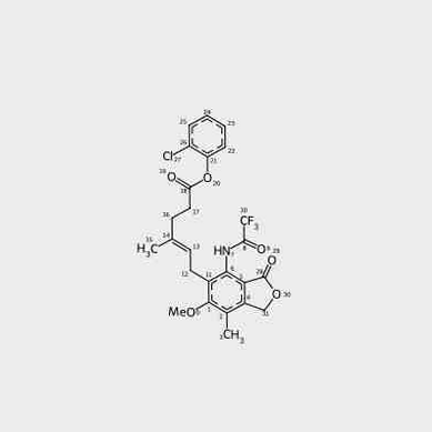 COc1c(C)c2c(c(NC(=O)C(F)(F)F)c1C/C=C(\C)CCC(=O)Oc1ccccc1Cl)C(=O)OC2